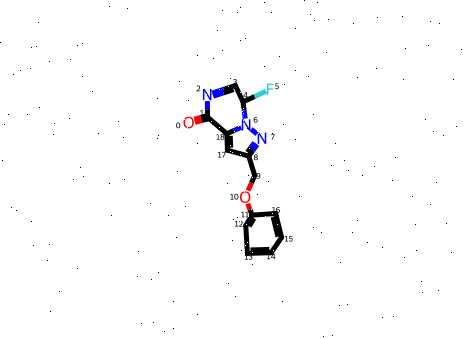 O=C1N=CC(F)n2nc(COc3ccccc3)cc21